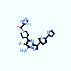 CC(=O)c1c(C2CCN(C(=O)c3nnc[nH]3)CC2)nc2c(-c3ccc(C4=NC=CC4)nc3)cnn2c1N